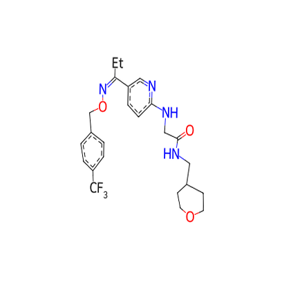 CCC(=NOCc1ccc(C(F)(F)F)cc1)c1ccc(NCC(=O)NCC2CCOCC2)nc1